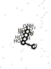 CN(C)[C@@H]1C(=O)C(C(N)=O)=C(O)[C@@]2(O)C(=O)C3=C(O)c4c(O)ccc(C#Cc5cccnc5)c4C[C@H]3C[C@@H]12